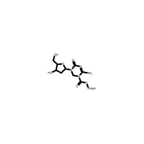 CCCCCCCOC(=O)N1CN(C2CC(O)C(CO)O2)C(=O)N=C1N